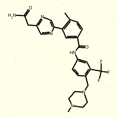 Cc1ccc(C(=O)Nc2ccc(CN3CCN(C)CC3)c(C(F)(F)F)c2)cc1-c1cnc(CC(N)=O)cn1